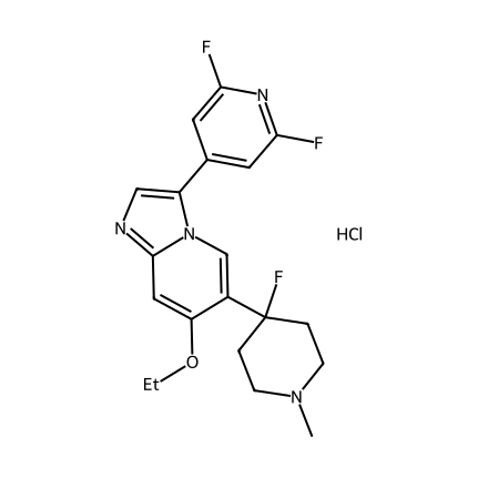 CCOc1cc2ncc(-c3cc(F)nc(F)c3)n2cc1C1(F)CCN(C)CC1.Cl